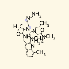 C=C(/N=C\C=N/CN)C(=O)NCc1cc2cccc(C)c2nc1N(C)CCN(CCC)CC(=O)N(C)C